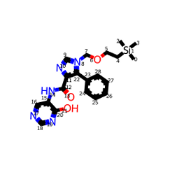 C[Si](C)(C)CCOCn1cnc(C(=O)Nc2cncnc2O)c1-c1ccccc1